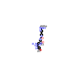 CCN(C(=O)[C@@H]1CCN(CC(=O)N2CC=C(c3ccc(C(=N)/N=C\NC)nc3)CC2)C1)c1ccc(N)c(C(=N)c2ccc(OC(C)C)cc2)n1